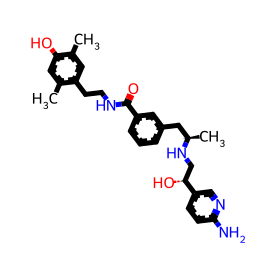 Cc1cc(CCNC(=O)c2cccc(C[C@@H](C)NC[C@@H](O)c3ccc(N)nc3)c2)c(C)cc1O